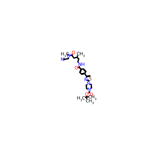 CC(CCNC(=O)c1ccc(-c2csc(N3CCN(C(=O)OC(C)(C)C)CC3)n2)cc1)CC(=O)N(C)CC#N